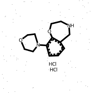 Cl.Cl.c1cc2c(c(N3CCOCC3)c1)OCCNC2